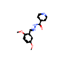 COc1ccc(OC)c(/C=N/NC(=O)c2ccncc2)c1